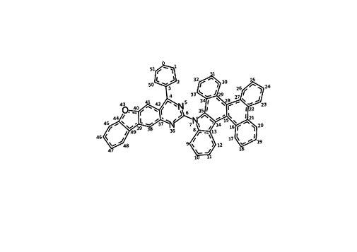 c1ccc(-c2nc(-n3c4ccccc4c4c5c6ccccc6c6ccccc6c5c5ccccc5c43)nc3cc4c(cc23)oc2ccccc24)cc1